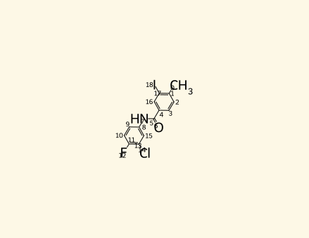 Cc1ccc(C(=O)Nc2ccc(F)c(Cl)c2)cc1I